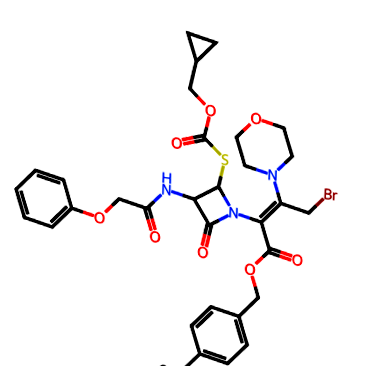 O=C(COc1ccccc1)NC1C(=O)N(C(C(=O)OCc2ccc([N+](=O)[O-])cc2)=C(CBr)N2CCOCC2)C1SC(=O)OCC1CC1